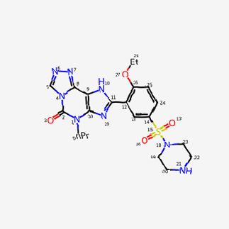 CCCn1c(=O)n2cnnc2c2[nH]c(-c3cc(S(=O)(=O)N4CCNCC4)ccc3OCC)nc21